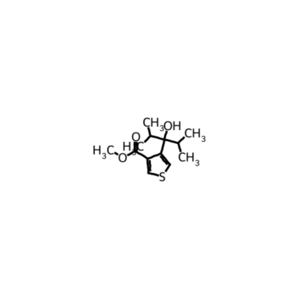 COC(=O)c1cscc1C(O)(C(C)C)C(C)C